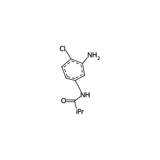 CC(C)C(=O)Nc1ccc(Cl)c(N)c1